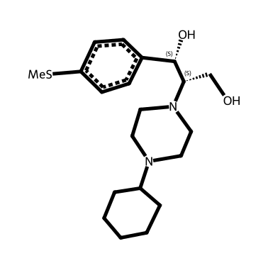 CSc1ccc([C@H](O)[C@H](CO)N2CCN(C3CCCCC3)CC2)cc1